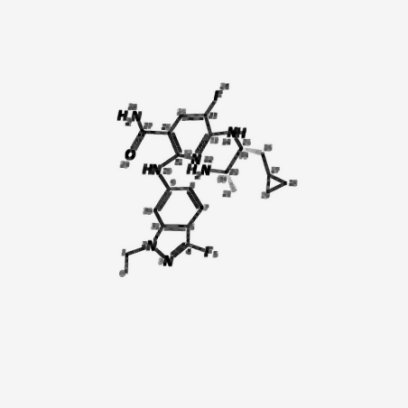 CCn1nc(F)c2ccc(Nc3nc(N[C@H](CC4CC4)[C@H](C)N)c(F)cc3C(N)=O)cc21